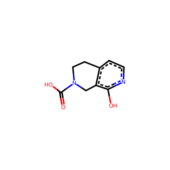 O=C(O)N1CCc2ccnc(O)c2C1